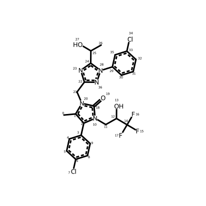 Cc1c(-c2ccc(Cl)cc2)n(CC(O)C(F)(F)F)c(=O)n1Cc1nc(C(C)O)n(-c2cccc(Cl)c2)n1